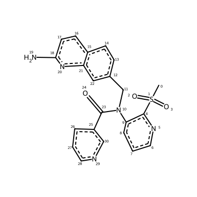 CS(=O)(=O)c1ncccc1N(Cc1ccc2ccc(N)nc2c1)C(=O)c1cccnc1